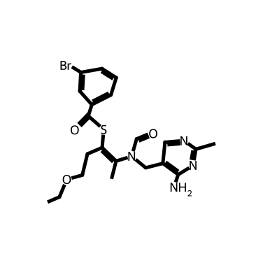 CCOCC/C(SC(=O)c1cccc(Br)c1)=C(\C)N(C=O)Cc1cnc(C)nc1N